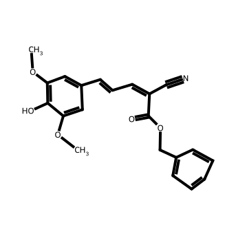 COc1cc(C=CC=C(C#N)C(=O)OCc2ccccc2)cc(OC)c1O